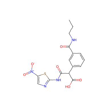 CCCNC(=O)c1cccc(C(C(=O)O)C(=O)Nc2ncc([N+](=O)[O-])s2)c1